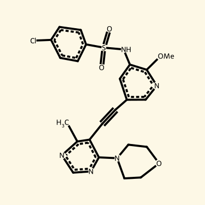 COc1ncc(C#Cc2c(C)ncnc2N2CCOCC2)cc1NS(=O)(=O)c1ccc(Cl)cc1